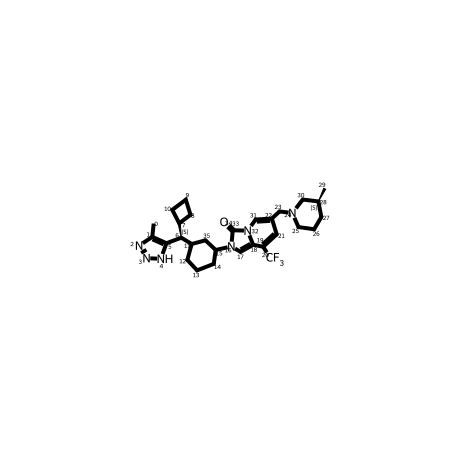 Cc1nn[nH]c1[C@@H](C1CCC1)C1CCCC(n2cc3c(C(F)(F)F)cc(CN4CCC[C@H](C)C4)cn3c2=O)C1